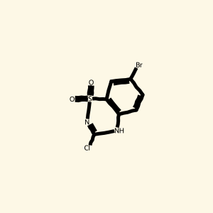 O=S1(=O)N=C(Cl)Nc2ccc(Br)cc21